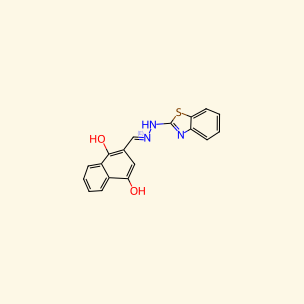 Oc1cc(/C=N/Nc2nc3ccccc3s2)c(O)c2ccccc12